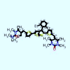 C=C/C(=C\c1ccc(-c2cc3c(-c4c(CC)cccc4CC)c(-c4ccc(C=C5C(=C)N(C)C(=O)N(C)C5=C)s4)sc3s2)s1)C(=C)N(C)C(=O)N(C)C